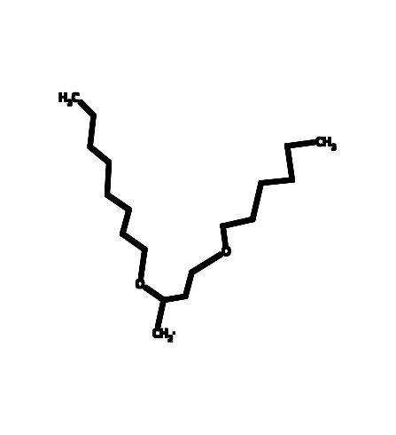 [CH2]C(CCOCCCCCC)OCCCCCCCC